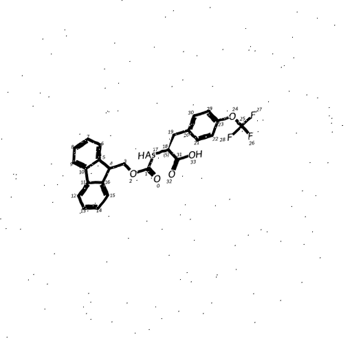 O=C(OCC1c2ccccc2-c2ccccc21)[AsH][C@@H](Cc1ccc(OC(F)(F)F)cc1)C(=O)O